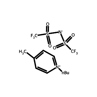 CCCC[n+]1ccc(C)cc1.O=S(=O)([N-]S(=O)(=O)C(F)(F)F)C(F)(F)F